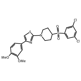 COc1ccc(-c2csc(N3CCC(S(=O)(=O)c4cc(Cl)cc(Cl)c4)CC3)n2)cc1OC